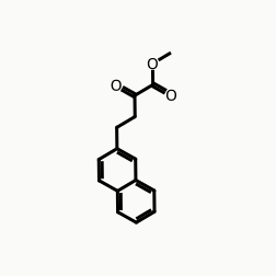 COC(=O)C(=O)CCc1ccc2ccccc2c1